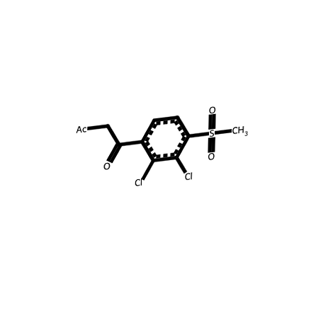 CC(=O)CC(=O)c1ccc(S(C)(=O)=O)c(Cl)c1Cl